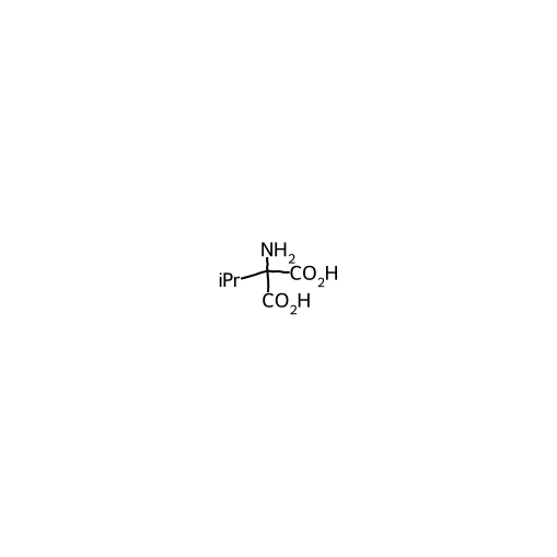 CC(C)C(N)(C(=O)O)C(=O)O